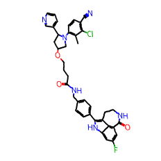 Cc1c(N2CC(OCCCC(=O)NCc3ccc(-c4[nH]c5cc(F)cc6c5c4CCNC6=O)cc3)CC2c2cccnc2)ccc(C#N)c1Cl